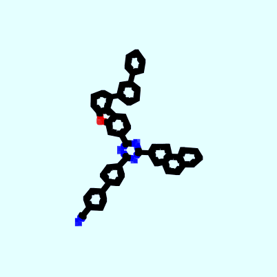 N#Cc1ccc(-c2ccc(-c3nc(-c4ccc5c(ccc6ccccc65)c4)nc(-c4ccc5c(c4)oc4cccc(-c6cccc(-c7ccccc7)c6)c45)n3)cc2)cc1